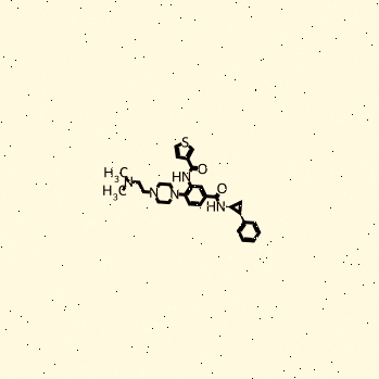 CN(C)CCN1CCN(c2ccc(C(=O)N[C@@H]3C[C@H]3c3ccccc3)cc2NC(=O)c2ccsc2)CC1